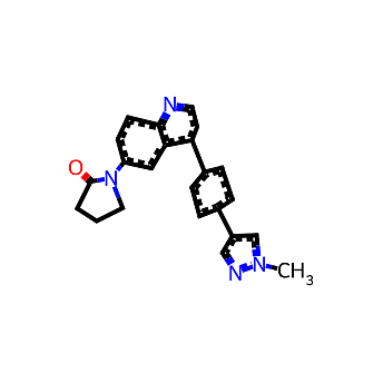 Cn1cc(-c2ccc(-c3ccnc4ccc(N5CCCC5=O)cc34)cc2)cn1